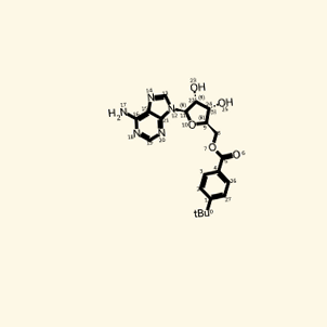 CC(C)(C)c1ccc(C(=O)OC[C@H]2O[C@@H](n3cnc4c(N)ncnc43)[C@H](O)[C@@H]2O)cc1